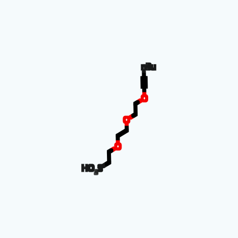 CCCCC#COCCOCCOCCS(=O)(=O)O